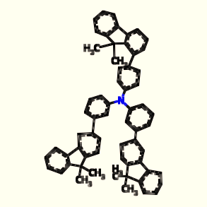 CC1(C)c2ccccc2-c2cc(-c3cccc(N(c4ccc(-c5cccc6c5C(C)(C)c5ccccc5-6)cc4)c4cccc(-c5ccc6c(c5)-c5ccccc5C6(C)C)c4)c3)ccc21